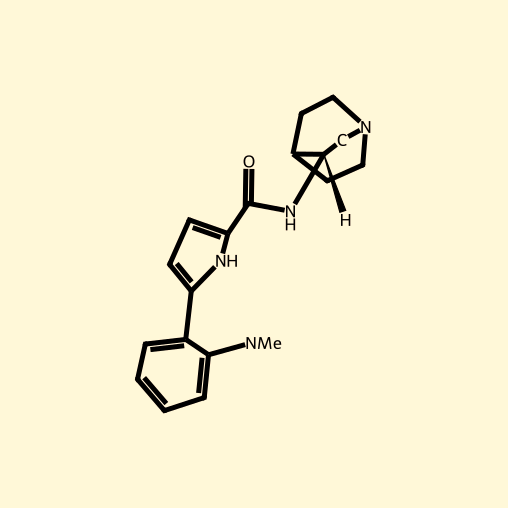 CNc1ccccc1-c1ccc(C(=O)N[C@H]2CN3CCC2CC3)[nH]1